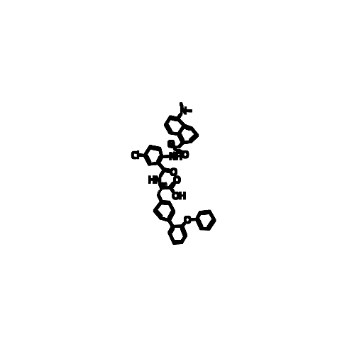 CN(C)c1cccc2c(S(=O)(=O)Nc3ccc(Cl)cc3C(=O)N[C@@H](Cc3ccc(-c4ccccc4Oc4ccccc4)cc3)C(=O)O)cccc12